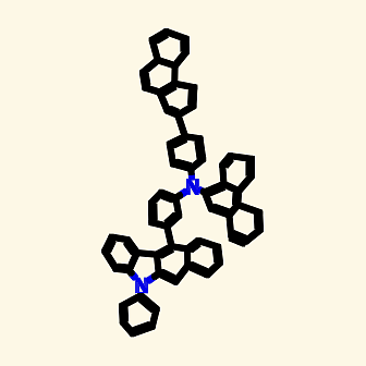 c1ccc2c(c#1)cc(N(c1ccc(-c3ccc4c(c3)C=CC3C=CC=CC43)cc1)c1cccc(-c3c4ccccc4cc4c3c3ccccc3n4-c3ccccc3)c1)c1ccccc12